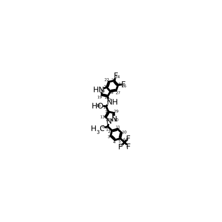 CC(c1ccc(C(F)(F)F)cc1)n1cc(C(O)Nc2c[nH]c3cc(F)c(F)cc23)cn1